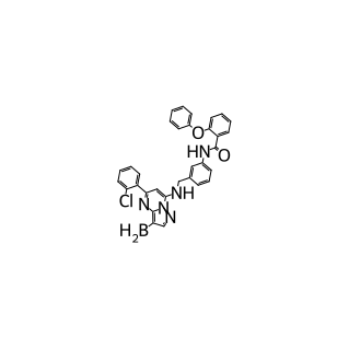 Bc1cnn2c(NCc3cccc(NC(=O)c4ccccc4Oc4ccccc4)c3)cc(-c3ccccc3Cl)nc12